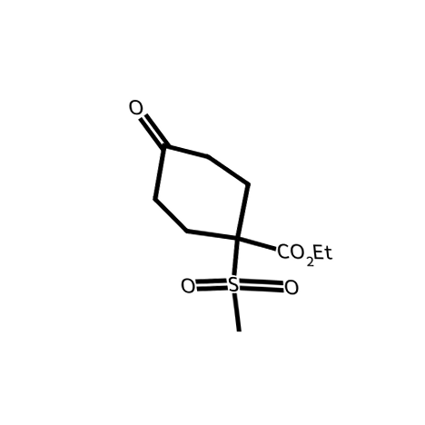 CCOC(=O)C1(S(C)(=O)=O)CCC(=O)CC1